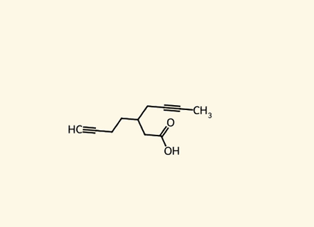 C#CCCC(CC#CC)CC(=O)O